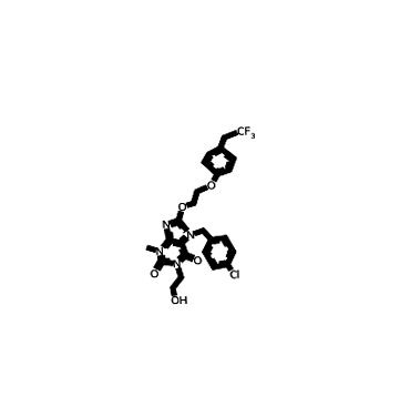 Cn1c(=O)n(CCO)c(=O)c2c1nc(OCCOc1ccc(CC(F)(F)F)cc1)n2Cc1ccc(Cl)cc1